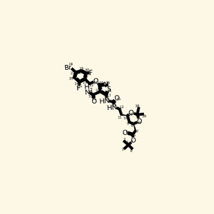 CC(C)(C)OC(=O)C[C@H]1C[C@@H](CCNC(=O)Nc2snc(OCc3c(F)cc(Br)cc3F)c2C(N)=O)OC(C)(C)O1